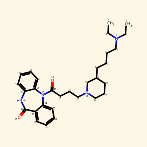 CCN(CC)CCCCC1CCCN(CCCC(=O)N2c3ccccc3NC(=O)c3ccccc32)C1